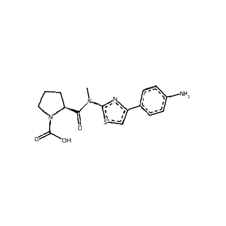 CN(C(=O)[C@@H]1CCCN1C(=O)O)c1nc(-c2ccc(N)cc2)cs1